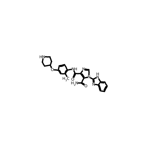 Cc1cc(OC2CCNCC2)ccc1NC(=O)c1ncn(-c2nc3ccccc3[nH]2)c1C(N)=O